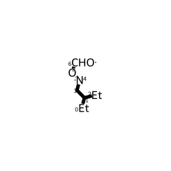 CCC(CC)C[N]O[C]=O